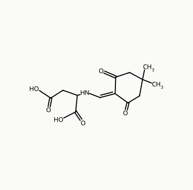 CC1(C)CC(=O)C(=CNC(CC(=O)O)C(=O)O)C(=O)C1